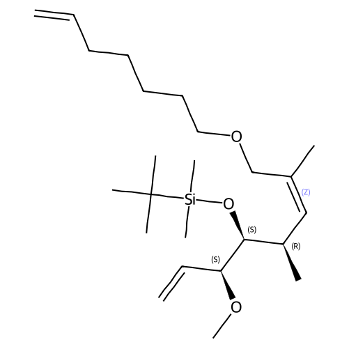 C=CCCCCCOC/C(C)=C\[C@@H](C)[C@H](O[Si](C)(C)C(C)(C)C)[C@H](C=C)OC